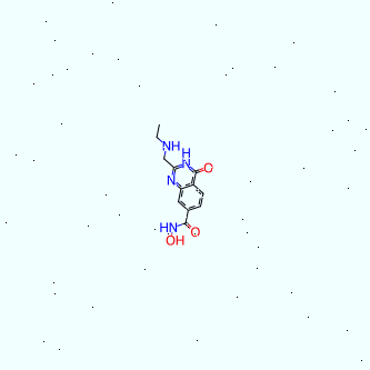 CCNCc1nc2cc(C(=O)NO)ccc2c(=O)[nH]1